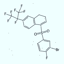 O=S(=O)(C1=CCCc2cc(C(F)(C(F)(F)F)C(F)(F)F)ccc21)c1ccc(F)c(Br)c1